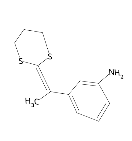 CC(=C1SCCCS1)c1cccc(N)c1